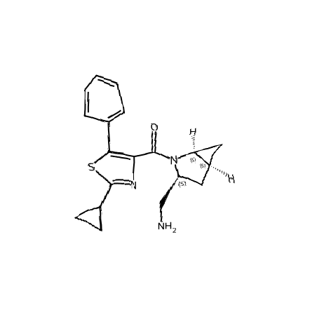 NC[C@@H]1C[C@@H]2C[C@@H]2N1C(=O)c1nc(C2CC2)sc1-c1ccccc1